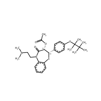 CC(=O)O[C@H]1C(=O)N(CCN(C)C)c2ccccc2S[C@H]1c1ccc(OC(C)(C)C(C)(C)C)cc1